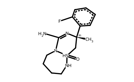 C[C@@]1(c2ccccc2F)C[SH]2(=O)NCCCCN2C(N)=N1